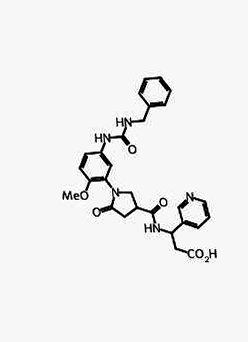 COc1ccc(NC(=O)NCc2ccccc2)cc1N1CC(C(=O)NC(CC(=O)O)c2cccnc2)CC1=O